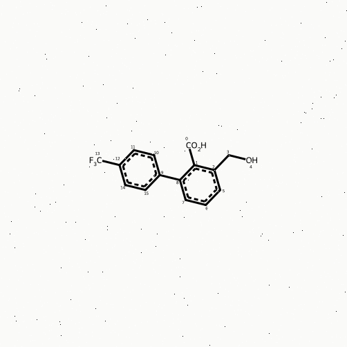 O=C(O)c1c(CO)cccc1-c1ccc(C(F)(F)F)cc1